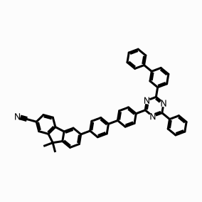 CC1(C)c2ccc(-c3ccc(-c4ccc(-c5nc(-c6ccccc6)nc(-c6cccc(-c7ccccc7)c6)n5)cc4)cc3)cc2-c2ccc(C#N)cc21